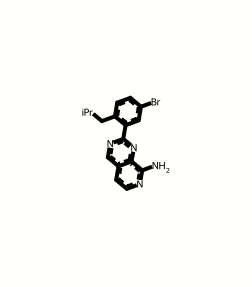 CC(C)Cc1ccc(Br)cc1-c1ncc2ccnc(N)c2n1